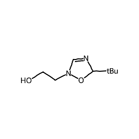 CC(C)(C)C1N=CN(CCO)O1